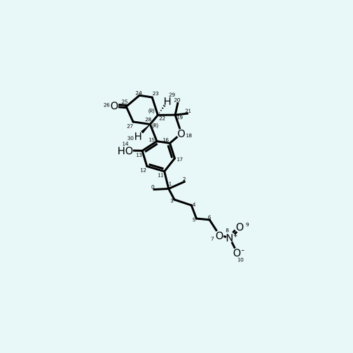 CC(C)(CCCCO[N+](=O)[O-])c1cc(O)c2c(c1)OC(C)(C)[C@@H]1CCC(=O)C[C@@H]21